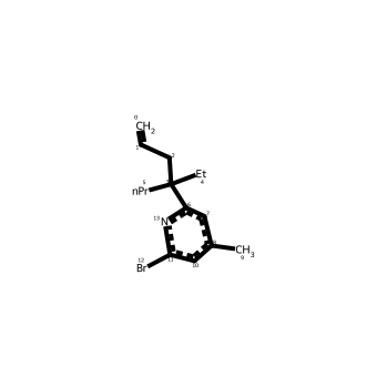 C=CCC(CC)(CCC)c1cc(C)cc(Br)n1